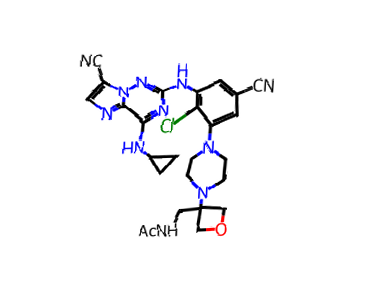 CC(=O)NCC1(N2CCN(c3cc(C#N)cc(Nc4nc(NC5CC5)c5ncc(C#N)n5n4)c3Cl)CC2)COC1